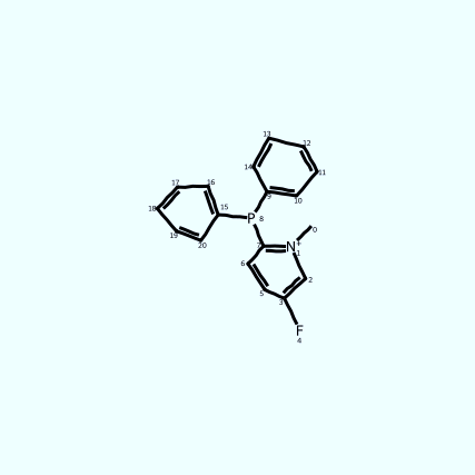 C[n+]1cc(F)ccc1P(c1ccccc1)c1ccccc1